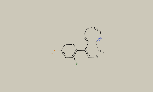 CC/C=C(\C1=CCC=CN=C1C)c1ccc(P)cc1Cl